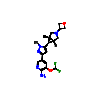 CC(C)n1nc(-c2cnc(N)c(OC(F)F)c2)cc1[C@H]1[C@@H]2CN(C3COC3)C[C@@H]21